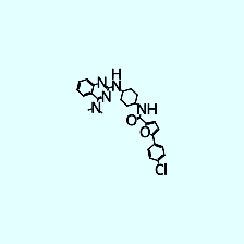 CN(C)c1nc(N[C@H]2CC[C@@H](NC(=O)c3ccc(-c4ccc(Cl)cc4)o3)CC2)nc2ccccc12